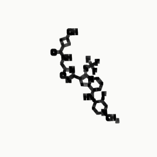 CN1CC[C@@H](Nc2cccn3c(SC(F)(F)F)c(-c4noc(CNC(=O)C5CC(O)C5)n4)cc23)[C@@H](F)C1